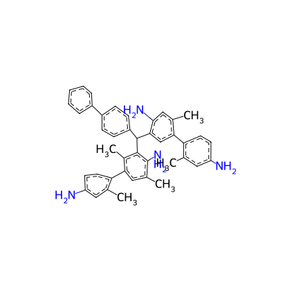 Cc1cc(N)ccc1-c1cc(C(c2ccc(-c3ccccc3)cc2)c2c(C)c(-c3ccc(N)cc3C)cc(C)c2N)c(N)cc1C